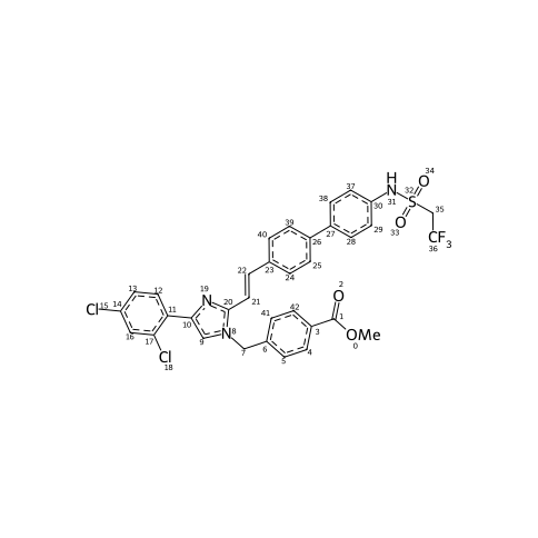 COC(=O)c1ccc(Cn2cc(-c3ccc(Cl)cc3Cl)nc2/C=C/c2ccc(-c3ccc(NS(=O)(=O)CC(F)(F)F)cc3)cc2)cc1